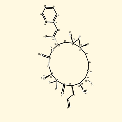 C=CC[C@H]1C(=O)C(C)(C)[C@@H](O)CC(=O)O[C@H](C(F)=Cc2ccccn2)C[C@@H]2O[C@]2(C)CCO[C@H](C)[C@H]1O